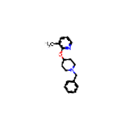 Cc1cccnc1OC1CCN(Cc2ccccc2)CC1